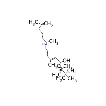 C=C(C)CCC/C(C)=C/CCC(C)=CC(O)O[Si](C)(C)C(C)(C)C